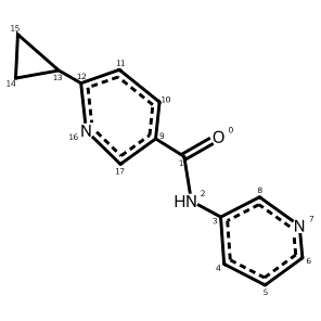 O=C(Nc1cccnc1)c1ccc(C2CC2)nc1